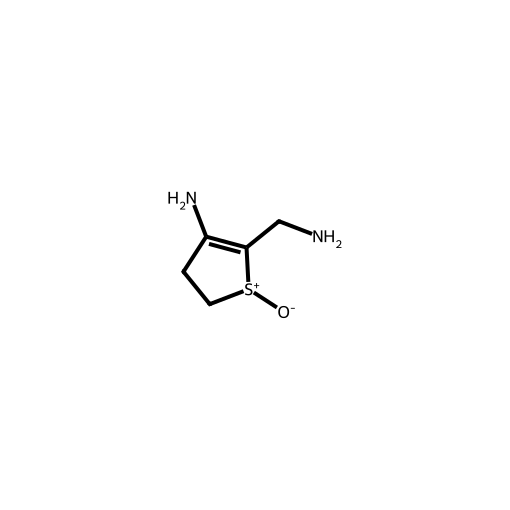 NCC1=C(N)CC[S+]1[O-]